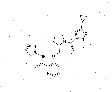 O=C(Nc1ccon1)c1ncccc1OCC1CCCN1C(=O)c1cc(C2CC2)on1